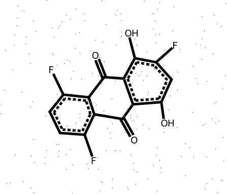 O=C1c2c(O)cc(F)c(O)c2C(=O)c2c(F)ccc(F)c21